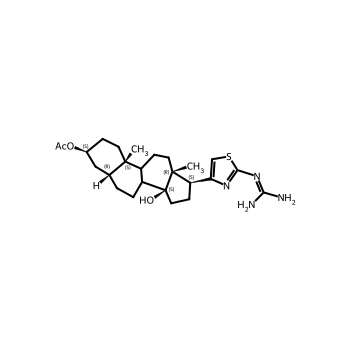 CC(=O)O[C@H]1CC[C@]2(C)C3CC[C@]4(C)[C@@H](c5csc(N=C(N)N)n5)CC[C@]4(O)C3CC[C@@H]2C1